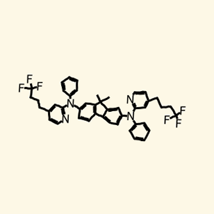 CC1(C)c2cc(N(c3ccccc3)c3cc(CCCC(F)(F)F)ccn3)ccc2-c2ccc(N(c3ccccc3)c3cc(CCCC(F)(F)F)ccn3)cc21